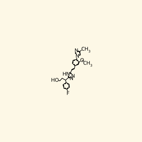 COc1cc(/C=C/c2nnc(C(CCO)c3ccc(F)cc3)[nH]2)ccc1-n1cnc(C)c1